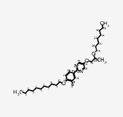 CCCCCCCCCCCOc1ccc(-c2ncc(OCC(C)OCCCCCCCC)cn2)cc1F